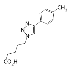 Cc1ccc(-c2cn(CCCCC(=O)O)nn2)cc1